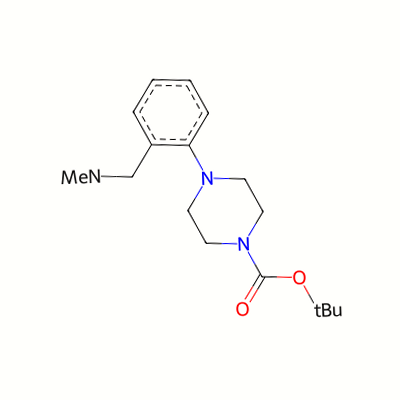 CNCc1ccccc1N1CCN(C(=O)OC(C)(C)C)CC1